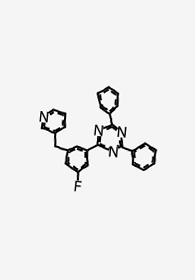 Fc1cc(Cc2cccnc2)cc(-c2nc(-c3ccccc3)nc(-c3ccccc3)n2)c1